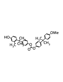 COc1ccc(C(C)(C)c2ccc(OC(=O)Oc3ccc(C(C)(C)c4ccc(O)cc4C)cc3)cc2)cc1